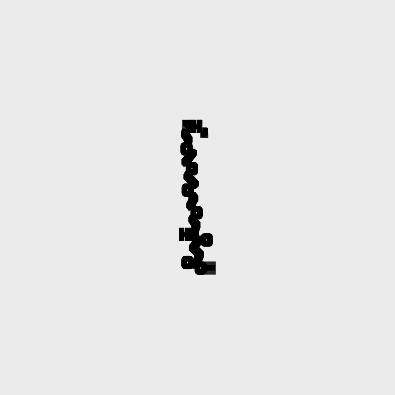 NCCOCCOCCOCCOCCNC(=O)CCC(=O)O